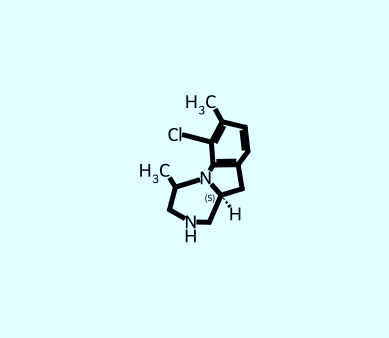 Cc1ccc2c(c1Cl)N1C(C)CNC[C@@H]1C2